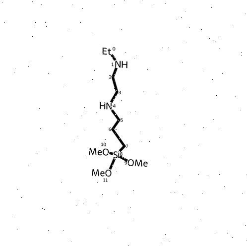 CCNCCNCCC[Si](OC)(OC)OC